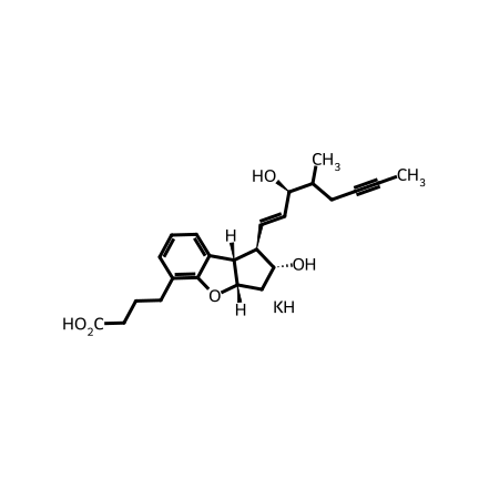 CC#CCC(C)[C@H](O)/C=C/[C@@H]1[C@H]2c3cccc(CCCC(=O)O)c3O[C@H]2C[C@H]1O.[KH]